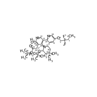 CCC(F)(F)COc1ccc(-c2cnc(C)c([C@H](OC(C)(C)C)C(=O)OC(C)C)c2N2CCC(C)(C)CC2)nc1